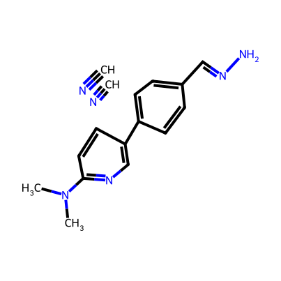 C#N.C#N.CN(C)c1ccc(-c2ccc(C=NN)cc2)cn1